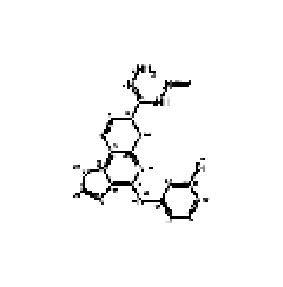 C=NN/C(=N\N)C1C=Cc2c(nc(Nc3cccc(Br)c3)c3ccsc23)C1